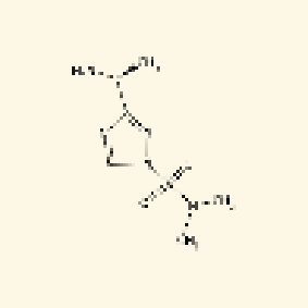 C[C@H](N)c1ncn(S(=O)(=O)N(C)C)n1